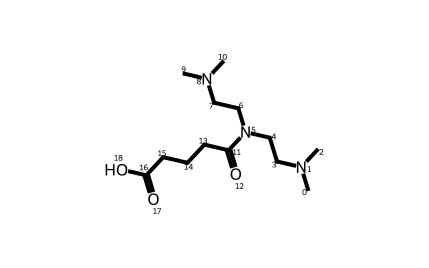 CN(C)CCN(CCN(C)C)C(=O)CCCC(=O)O